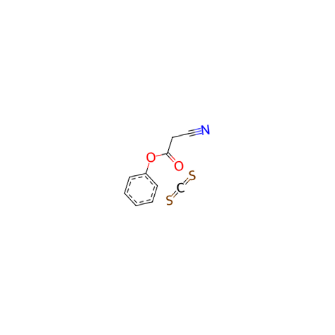 N#CCC(=O)Oc1ccccc1.S=C=S